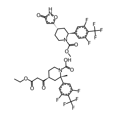 CCOC(=O)CC(=O)[C@H]1CCN(C(=O)O)[C@](C)(c2cc(F)c(C(F)(F)F)c(F)c2)C1.COC(=O)N1CC[C@H](c2cc(=O)[nH]o2)C[C@H]1c1cc(F)c(C(F)(F)F)c(F)c1